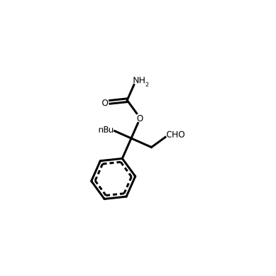 CCCCC(CC=O)(OC(N)=O)c1ccccc1